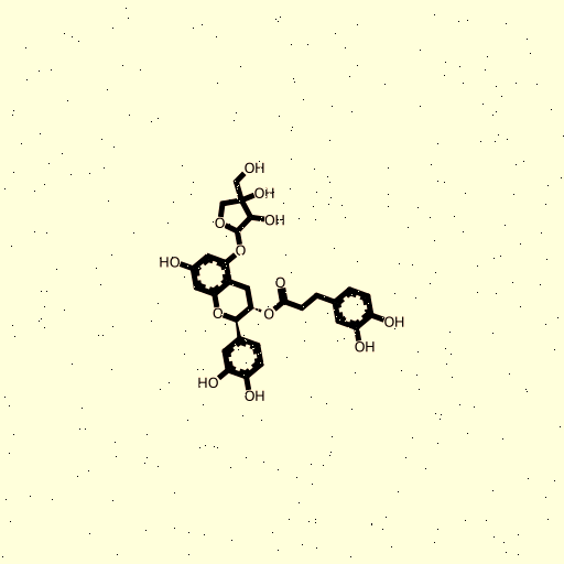 O=C(CCc1ccc(O)c(O)c1)O[C@H]1Cc2c(OC3OCC(O)(CO)C3O)cc(O)cc2O[C@@H]1c1ccc(O)c(O)c1